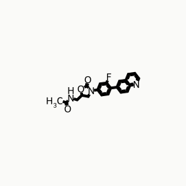 CC(=O)NCC1CN(c2ccc(-c3ccc4ncccc4c3)c(F)c2)C(=O)O1